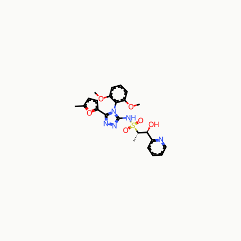 COc1cccc(OC)c1-n1c(NS(=O)(=O)[C@@H](C)[C@@H](O)c2ccccn2)nnc1-c1ccc(C)o1